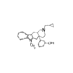 Cn1c2c(c3ccccc31)CC1CN(CC3CC3)CCC1(c1cccc(O)c1)C2